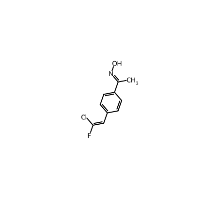 CC(=NO)c1ccc(C=C(F)Cl)cc1